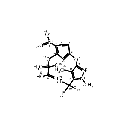 Cn1nc(Oc2ccc([N+](=O)[O-])c(OC(C)(C)C(=O)O)c2)c(Cl)c1C(F)(F)F